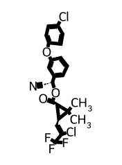 CC1(C)[C@H](C(=O)O[C@H](C#N)c2cccc(Oc3ccc(Cl)cc3)c2)[C@@H]1/C=C(\Cl)C(F)(F)F